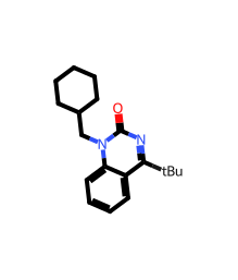 CC(C)(C)c1nc(=O)n(CC2CCCCC2)c2ccccc12